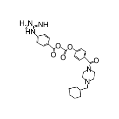 N=C(N)Nc1ccc(C(=O)OC(=O)Oc2ccc(C(=O)N3CCN(CC4CCCCC4)CC3)cc2)cc1